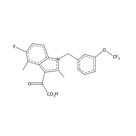 Cc1c(F)ccc2c1c(C(=O)C(=O)O)c(C)n2Cc1cccc(OC(F)(F)F)c1